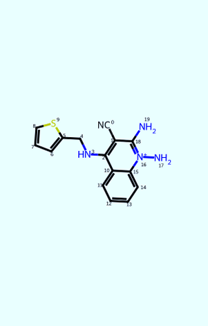 N#Cc1c(NCc2cccs2)c2ccccc2[n+](N)c1N